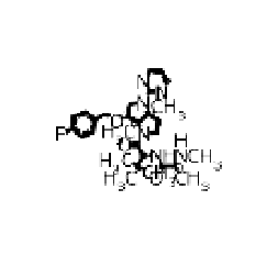 CN[C@@H](C)C(=O)N[C@H](C(=O)N1CC[C@@]2(C)N(c3ncccn3)C[C@H](OCc3ccc(F)cc3)[C@@]12C)C(C)(C)C